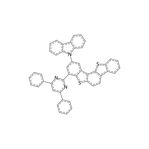 c1ccc(-c2cc(-c3ccccc3)nc(-c3cc(-n4c5ccccc5c5ccccc54)cc4c3sc3ccc5c6ccccc6sc5c34)n2)cc1